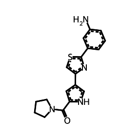 Nc1cccc(-c2nc(-c3c[nH]c(C(=O)N4CCCC4)c3)cs2)c1